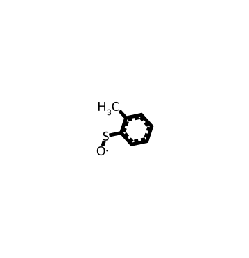 Cc1ccccc1S[O]